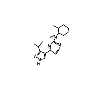 CC(C)c1n[nH]cc1-c1ccnc(NC2CCCCC2C)n1